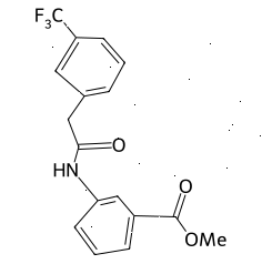 COC(=O)c1cccc(NC(=O)Cc2cccc(C(F)(F)F)c2)c1